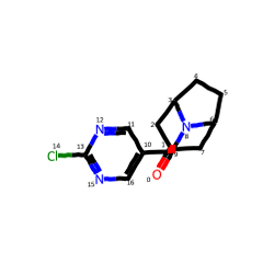 O=C1CC2CCC(C1)N2Cc1cnc(Cl)nc1